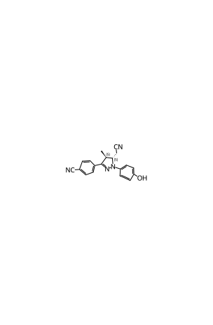 C[C@@H]1C(c2ccc(C#N)cc2)=NN(c2ccc(O)cc2)[C@H]1CC#N